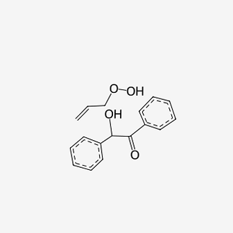 C=CCOO.O=C(c1ccccc1)C(O)c1ccccc1